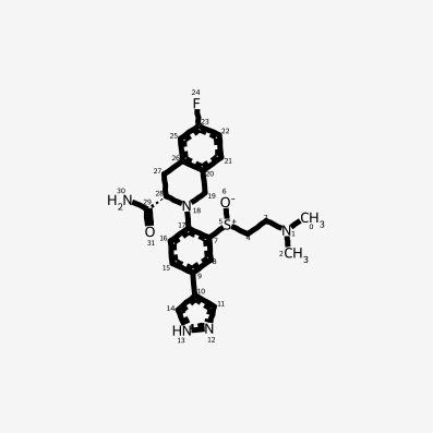 CN(C)CC[S+]([O-])c1cc(-c2cn[nH]c2)ccc1N1Cc2ccc(F)cc2C[C@H]1C(N)=O